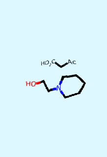 CC(=O)CC(=O)O.OCCN1CCCCC1